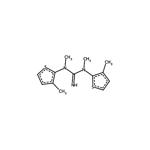 Cc1ccsc1N(C)C(=N)N(C)c1sccc1C